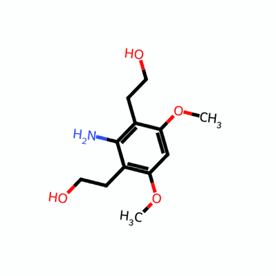 COc1cc(OC)c(CCO)c(N)c1CCO